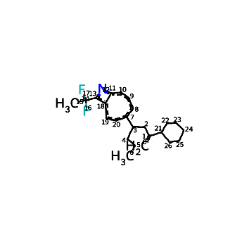 C=C(CC(CCC)c1cccc2nc(C(C)(F)F)c-2cc1)C1CCCCC1